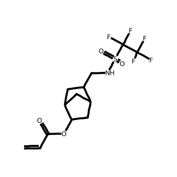 C=CC(=O)OC1CC2CC1CC2CNS(=O)(=O)C(F)(F)C(F)(F)F